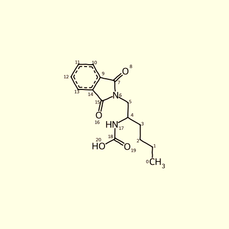 CCCCC(CN1C(=O)c2ccccc2C1=O)NC(=O)O